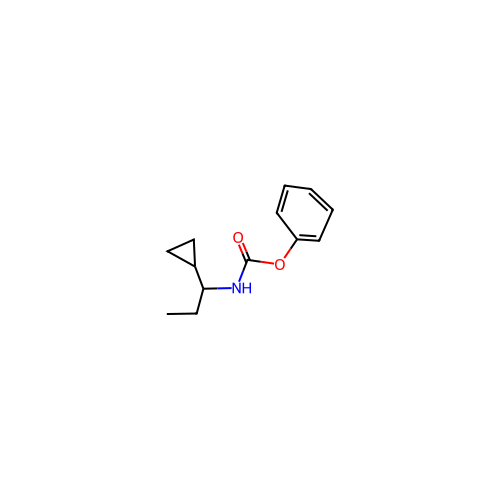 CCC(NC(=O)Oc1ccccc1)C1CC1